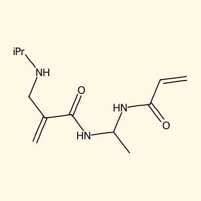 C=CC(=O)NC(C)NC(=O)C(=C)CNC(C)C